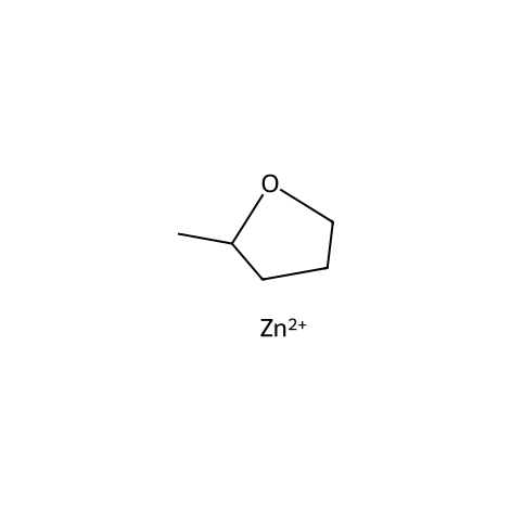 CC1CCCO1.[Zn+2]